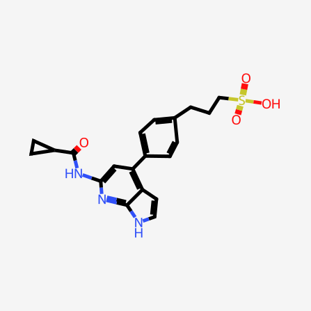 O=C(Nc1cc(-c2ccc(CCCS(=O)(=O)O)cc2)c2cc[nH]c2n1)C1CC1